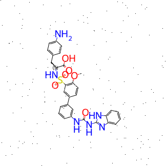 COc1ccc(-c2cccc(NC(=O)Nc3nc4ccccc4[nH]3)c2)cc1S(=O)(=O)N[C@@H](Cc1ccc(N)cc1)C(=O)O